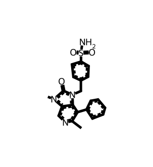 Cc1ncc2c(c1-c1ccccc1)n(Cc1ccc(S(N)(=O)=O)cc1)c(=O)n2C